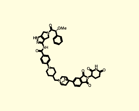 CO[C@@H](C(=O)N1Cc2[nH]nc(NC(=O)c3ccc(N4CCC(CN5CC6CCC5CN6c5ccc6c(c5)C(=O)N(C5CCC(=O)NC5=O)C6=O)CC4)cc3)c2C1)c1ccccc1